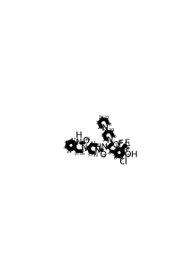 O=C(N[C@H](Cc1cc(Cl)c(O)c(C(F)(F)F)c1)C(=O)N1CCC(N2CCCCC2)CC1)N1CCC(N2CCc3ccccc3NC2=O)CC1